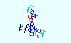 C=Nc1cc(OCC(=O)Nc2ccc(C(F)(F)F)c(F)c2)ccc1N(CNc1ccc(OC(F)(F)F)cc1)C1CC(C)CC(C)C1